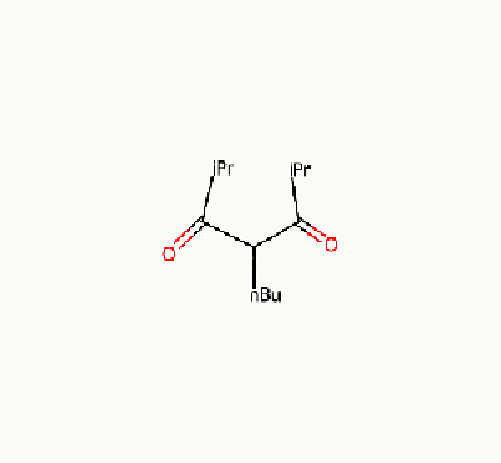 CCCCC(C(=O)C(C)C)C(=O)C(C)C